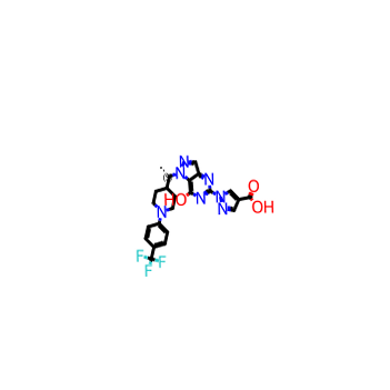 C[C@@H](C1CCN(c2ccc(C(F)(F)F)cc2)CC1)n1ncc2nc(-n3cc(C(=O)O)cn3)nc(O)c21